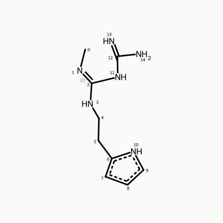 C/N=C(/NCCc1ccc[nH]1)NC(=N)N